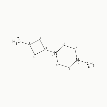 CC1CC(N2CCN(C)CC2)C1